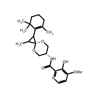 COc1ccnc(C(=O)N[C@H]2CO[C@]3(OC2)C(C)C3C2=C(C)CCCC2(C)C)c1O